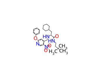 CC(C)(C)CCNC(=O)C(CC1CCCCC1)NCc1cc(Oc2ccccc2)ncc1[N+](=O)[O-]